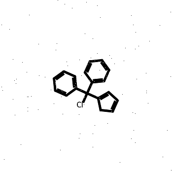 ClC(C1=CC=CC1)(c1ccccc1)c1ccccc1